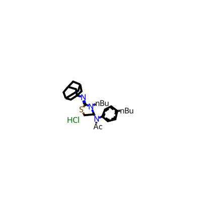 CCCCc1ccc(N(C(C)=O)C2CSC(=NC34CC5CC(CC(C5)C3)C4)N2CCCC)cc1.Cl